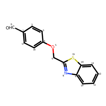 O=Cc1ccc(OCc2nc3ccccc3s2)cc1